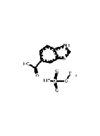 COS(=O)(=O)O.O=C(O)c1ccc2[nH]cnc2c1